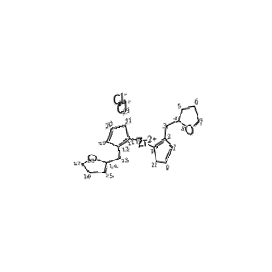 C1=CC(CC2CCCO2)=[C]([Zr+2][C]2=C(CC3CCCO3)C=CC2)C1.[Cl-].[Cl-]